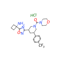 Cl.NC1(c2nc(C3CC(c4ccc(C(F)(F)F)cc4)CN(C(=O)N4CCOCC4)C3)no2)CCC1